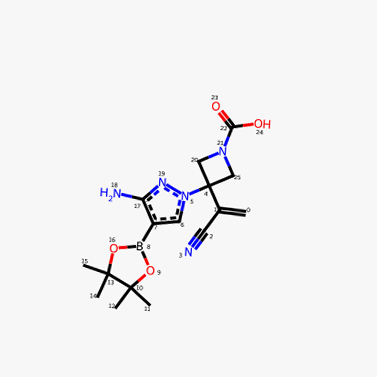 C=C(C#N)C1(n2cc(B3OC(C)(C)C(C)(C)O3)c(N)n2)CN(C(=O)O)C1